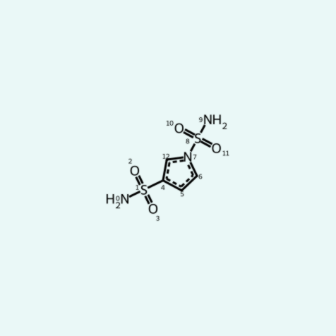 NS(=O)(=O)c1ccn(S(N)(=O)=O)c1